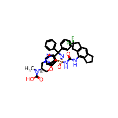 CN(C(=O)O)[C@@H]1COc2c(S(=O)(=NC(c3ccccc3)(c3ccccc3)c3ccccc3)NC(=O)Nc3c4c(cc5c3CC(F)(F)C5)CCC4)cnn2C1